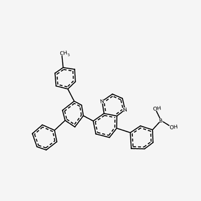 Cc1ccc(-c2cc(-c3ccccc3)cc(-c3ccc(-c4cccc(B(O)O)c4)c4nccnc34)c2)cc1